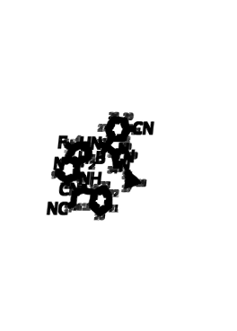 BC(Nc1cc(F)c2ncc(C#N)c(NC(CCC#N)c3ccccc3)c2c1)(c1cccc(C#N)c1)c1cn(C2CC2)nn1